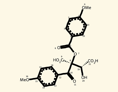 COc1ccc(C(=O)O[C@](C(=O)O)(C(=O)c2ccc(OC)cc2)[C@@H](O)C(=O)O)cc1